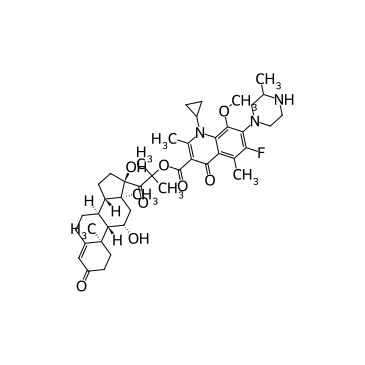 COc1c(N2CCNC(C)C2)c(F)c(C)c2c(=O)c(C(=O)OC(C)(C)C(=O)[C@@]3(O)CC[C@H]4[C@@H]5CCC6=CC(=O)CC[C@]6(C)[C@H]5[C@@H](O)C[C@@]43C)c(C)n(C3CC3)c12